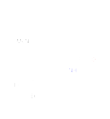 CCC1(CC)Cc2[nH]c(=O)c3ccccc3c2C(NC)C1